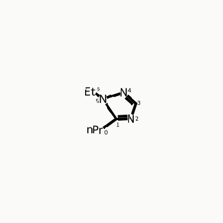 CCCc1ncnn1CC